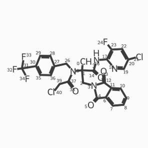 CC(CN1C(=O)c2ccccc2C1=O)(C(=O)Nc1ncc(Cl)cc1F)N(Cc1ccc(C(F)(F)F)cc1)C(=O)CCl